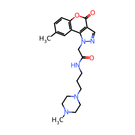 Cc1ccc2oc(=O)c3cnn(CC(=O)NCCCN4CCN(C)CC4)c3c2c1